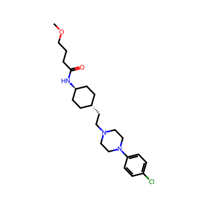 COCCCC(=O)N[C@H]1CC[C@H](CCN2CCN(c3ccc(Cl)cc3)CC2)CC1